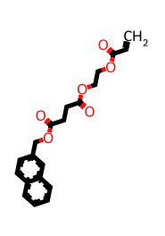 C=CC(=O)OCCOC(=O)CCC(=O)OCc1ccc2ccccc2c1